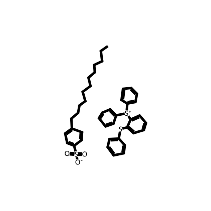 CCCCCCCCCCCCc1ccc(S(=O)(=O)[O-])cc1.c1ccc(Sc2ccccc2[S+](c2ccccc2)c2ccccc2)cc1